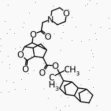 CC(C)(OC(=O)C1C2CC3C(OC(=O)C31)C2OC(=O)CN1CCOCC1)C1CC2CC1C1C3CCC(C3)C21